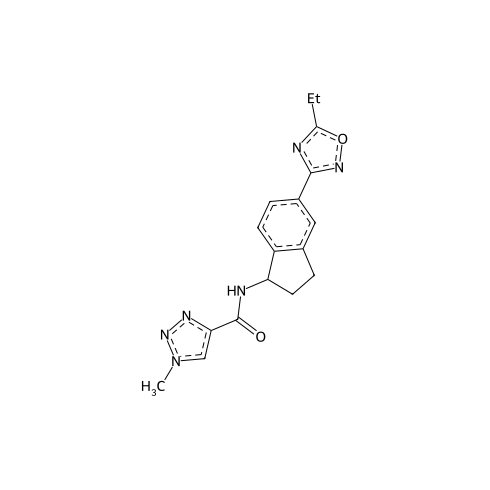 CCc1nc(-c2ccc3c(c2)CCC3NC(=O)c2cn(C)nn2)no1